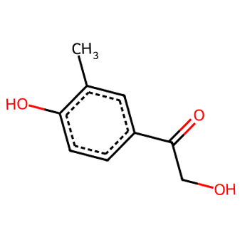 Cc1cc(C(=O)CO)ccc1O